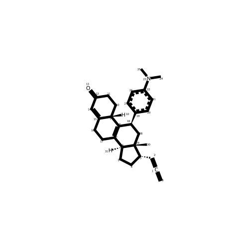 C=C=C[C@@H]1CC[C@H]2C3=C([C@H]4CCC(=O)C=C4CC3)[C@@H](c3ccc(N(C)C)cc3)C[C@]12C